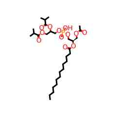 CCCCCCCCCCCCCC(=O)O[C@H](COC(C)=O)COP(=O)(O)OCC(COC(=O)C(C)C)OC(=O)C(C)C